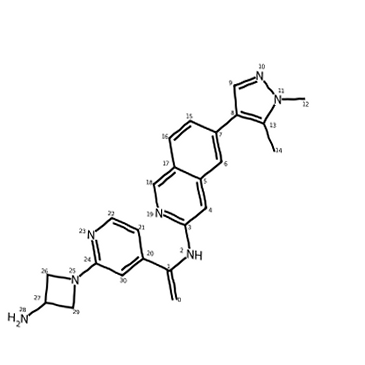 C=C(Nc1cc2cc(-c3cnn(C)c3C)ccc2cn1)c1ccnc(N2CC(N)C2)c1